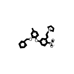 Cc1ccc(Oc2ccc([N+](=O)[O-])c(C=CN3CCCC3)c2)c(OCc2ccccc2)c1